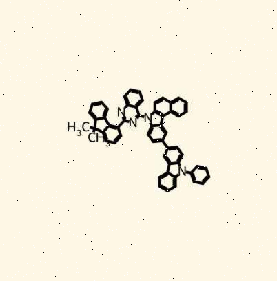 CC1(C)c2ccccc2-c2c(-c3nc(-n4c5ccc(-c6ccc7c(c6)c6ccccc6n7-c6ccccc6)cc5c5c6ccccc6ccc54)c4ccccc4n3)cccc21